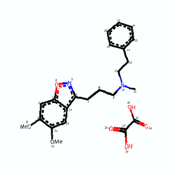 COc1cc2onc(CCCN(C)CCc3ccccc3)c2cc1OC.O=C(O)C(=O)O